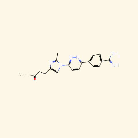 COC(=O)CCc1cn(-c2ccc(-c3ccc(C(=N)N)cc3)nn2)c(C)n1